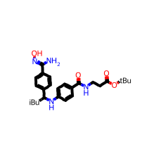 CCC(C)C(Nc1ccc(C(=O)NCCC(=O)OC(C)(C)C)cc1)c1ccc(/C(N)=N/O)cc1